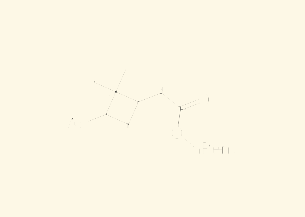 CCCCCOC(=O)CC1CC(C(C)=O)C1(C)C